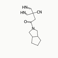 N#CC(C=N)(C=N)CC(=O)N1CC2CCCC2C1